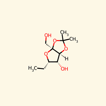 CC[C@@H]1O[C@@]2(CO)OC(C)(C)O[C@H]2[C@@H]1O